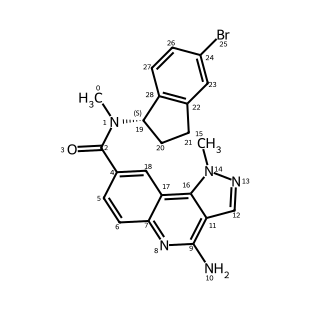 CN(C(=O)c1ccc2nc(N)c3cnn(C)c3c2c1)[C@H]1CCc2cc(Br)ccc21